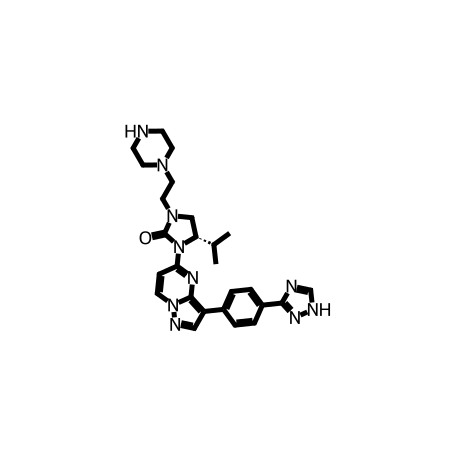 CC(C)[C@H]1CN(CCN2CCNCC2)C(=O)N1c1ccn2ncc(-c3ccc(-c4nc[nH]n4)cc3)c2n1